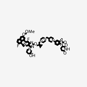 C#Cc1c(F)ccc2cc(OCOC)cc(-c3ncc4c(N5CCC[C@@](C)(O)C5)nc(OCC5(CN6CCN(CC7CCN(c8ccc9c(c8)n(C)c(=O)n9C8CCC(=O)NC8=O)CC7)CC6)CC5)nc4c3F)c12